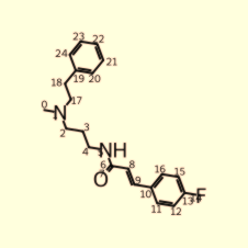 CN(CCCNC(=O)/C=C/c1ccc(F)cc1)CCc1ccccc1